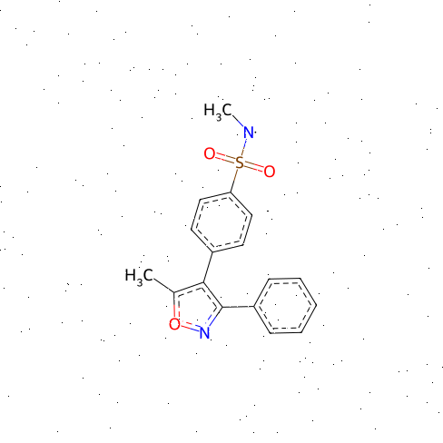 C[N]S(=O)(=O)c1ccc(-c2c(-c3ccccc3)noc2C)cc1